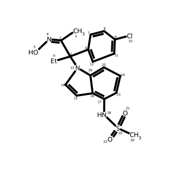 CCC(/C(C)=N\O)(c1ccc(Cl)cc1)n1ccc2c(NS(C)(=O)=O)cccc21